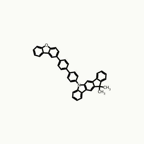 CC1(C)c2ccccc2-c2cc3c(cc21)c1ccccc1n3-c1ccc(-c2ccc(-c3ccc4oc5ccccc5c4c3)cc2)cc1